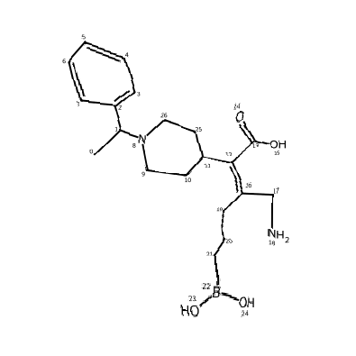 CC(c1ccccc1)N1CCC(/C(C(=O)O)=C(/CN)CCCB(O)O)CC1